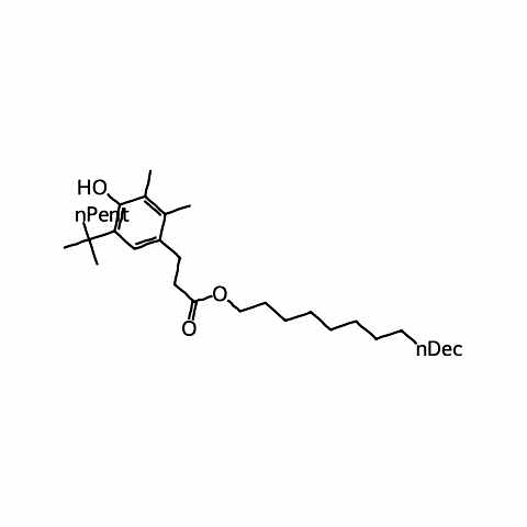 CCCCCCCCCCCCCCCCCCOC(=O)CCc1cc(C(C)(C)CCCCC)c(O)c(C)c1C